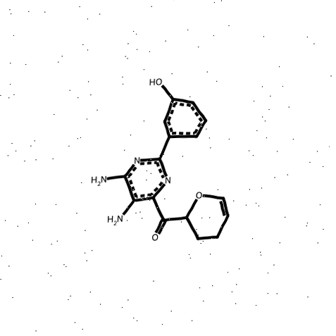 Nc1nc(-c2cccc(O)c2)nc(C(=O)C2CCC=CO2)c1N